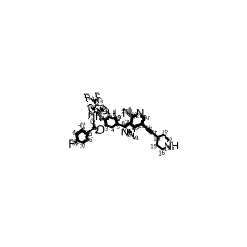 CC(Oc1cc(-c2nn(C)c3c(C#CC4CCNCC4)cnc(N)c23)ccc1NS(=O)(=O)C(F)F)c1ccc(F)cc1